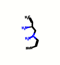 C=C[C@H](N)CN(N)/C=C\NC